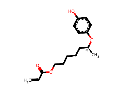 C=CC(=O)OCCCCC[C@H](C)Oc1ccc(O)cc1